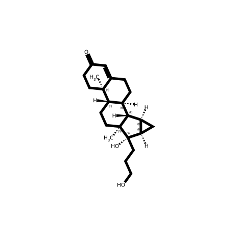 C[C@]12CCC(=O)C=C1CC[C@H]1[C@@H]3[C@H]4C[C@H]4[C@@](O)(CCCO)[C@@]3(C)CC[C@@H]12